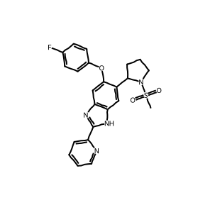 CS(=O)(=O)N1CCCC1c1cc2[nH]c(-c3ccccn3)nc2cc1Oc1ccc(F)cc1